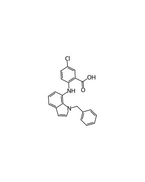 O=C(O)c1cc(Cl)ccc1Nc1cccc2ccn(Cc3ccccc3)c12